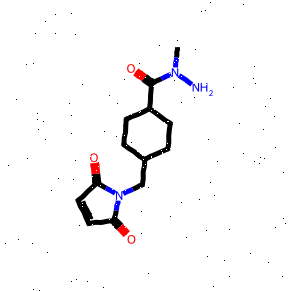 CN(N)C(=O)C1CCC(CN2C(=O)C=CC2=O)CC1